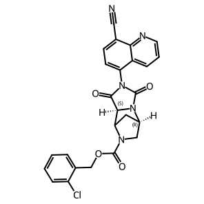 N#Cc1ccc(N2C(=O)[C@@H]3C4C[C@H](CN4C(=O)OCc4ccccc4Cl)N3C2=O)c2cccnc12